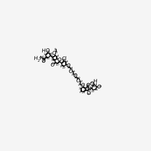 CCOc1cc2oc(-c3ccc(OCCOCCOCCOCCOc4cccc5c4C(=O)N(C4CCC(=O)NC4=O)C5=O)cc3Cl)cc(=O)c2cc1-c1cc(O)cc(C(N)=O)c1